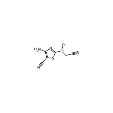 N#CC[S+]([O-])c1nc(N)c(C#N)s1